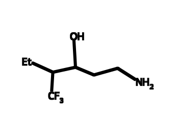 CCC(C(O)CCN)C(F)(F)F